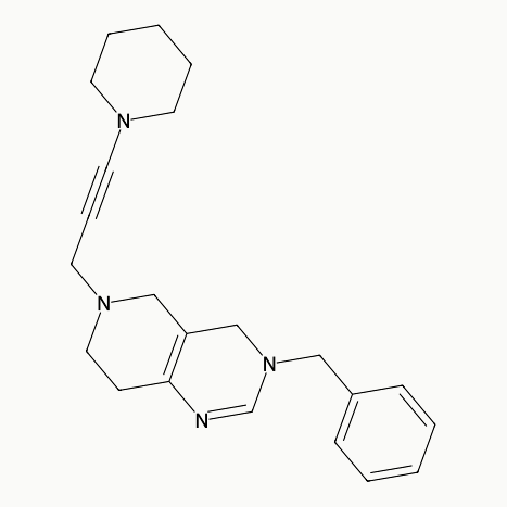 C(#CN1CCCCC1)CN1CCC2=C(CN(Cc3ccccc3)C=N2)C1